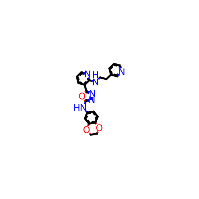 c1cncc(CCNc2ncccc2-c2nnc(Nc3ccc4c(c3)OCCO4)o2)c1